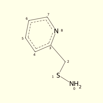 NSCc1ccccn1